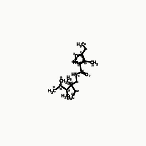 CCc1onc(C(=O)NCC(C)(CC)C(C)N(C)C)c1C